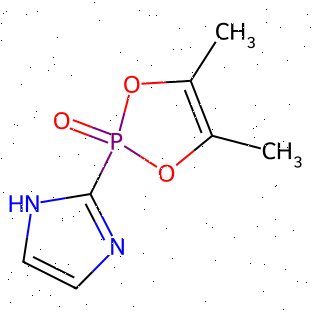 CC1=C(C)OP(=O)(c2ncc[nH]2)O1